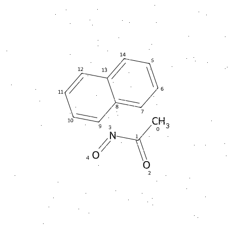 CC(=O)N=O.c1ccc2ccccc2c1